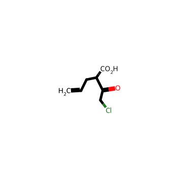 C=CCC(C(=O)O)C(=O)CCl